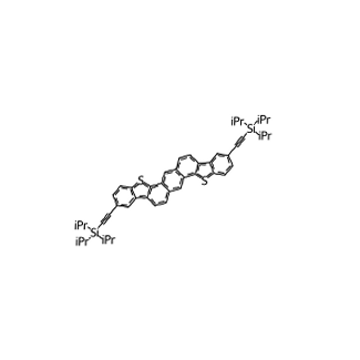 CC(C)[Si](C#Cc1ccc2sc3c4cc5ccc6c7cc(C#C[Si](C(C)C)(C(C)C)C(C)C)ccc7sc6c5cc4ccc3c2c1)(C(C)C)C(C)C